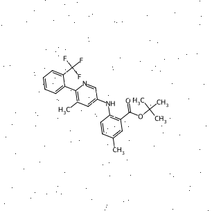 Cc1ccc(Nc2cnc(-c3ccccc3C(F)(F)F)c(C)c2)c(C(=O)OC(C)(C)C)c1